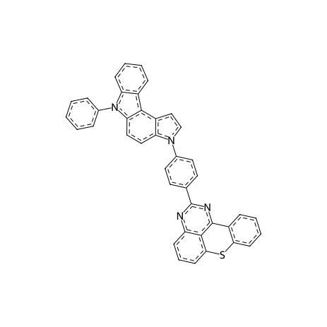 c1ccc(-n2c3ccccc3c3c4ccn(-c5ccc(-c6nc7c8c(cccc8n6)Sc6ccccc6-7)cc5)c4ccc32)cc1